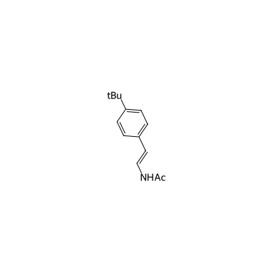 CC(=O)NC=Cc1ccc(C(C)(C)C)cc1